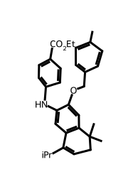 CCOC(=O)c1ccc(Nc2cc3c(cc2OCc2ccc(C)cc2)C(C)(C)CC=C3C(C)C)cc1